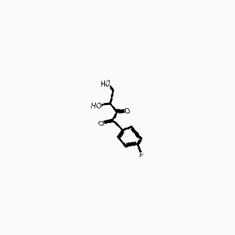 O=C(C(=O)C(O)CO)c1ccc(F)cc1